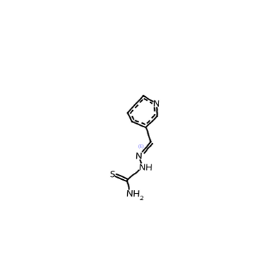 NC(=S)N/N=C/c1cccnc1